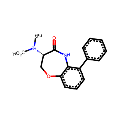 CC(C)(C)N(C(=O)O)[C@H]1COc2cccc(-c3ccccc3)c2NC1=O